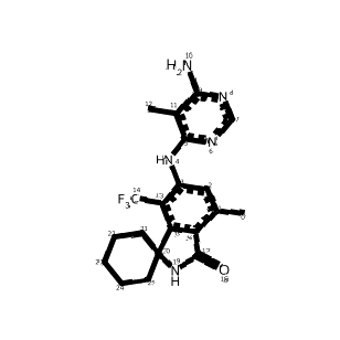 Cc1cc(Nc2ncnc(N)c2C)c(C(F)(F)F)c2c1C(=O)NC21CCCCC1